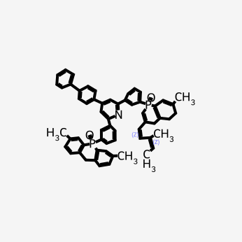 C/C=C(C)\C=C/C1=CP(=O)(c2cccc(-c3cc(-c4ccc(-c5ccccc5)cc4)cc(-c4cccc(P5(=O)c6cc(C)ccc6Cc6ccc(C)cc65)c4)n3)c2)C2=C(CCC(C)=C2)C1